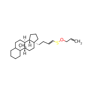 C=CCOSC=CCC[C@@]12CCC[C@H]1[C@@H]1CCC3CCCC[C@]3(C)[C@H]1CC2